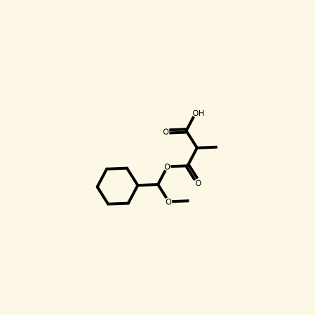 COC(OC(=O)C(C)C(=O)O)C1CCCCC1